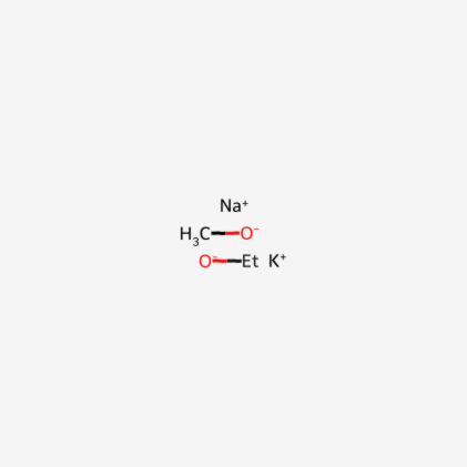 CC[O-].C[O-].[K+].[Na+]